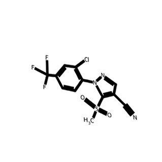 CS(=O)(=O)c1c(C#N)cnn1-c1ccc(C(F)(F)F)cc1Cl